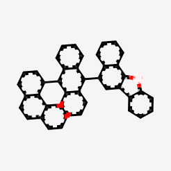 c1ccc2c(c1)ccc1cccc(-c3c4ccccc4c(-c4cc5c6ccccc6oc5c5ccccc45)c4ccccc34)c12